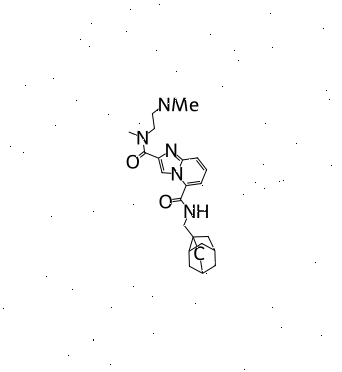 CNCCN(C)C(=O)c1cn2c(C(=O)NCC34CC5CC(CC3C5)C4)cccc2n1